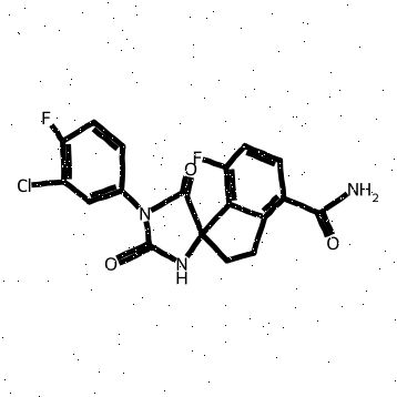 NC(=O)c1ccc(F)c2c1CCC21NC(=O)N(c2ccc(F)c(Cl)c2)C1=O